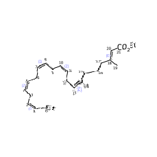 CC/C=C\C/C=C\C/C=C\C/C=C\C/C=C\CCC/C(C)=C/C(=O)OCC